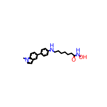 Cn1ccc2cc(-c3ccc(NCCCCCCC(=O)NO)cc3)ccc21